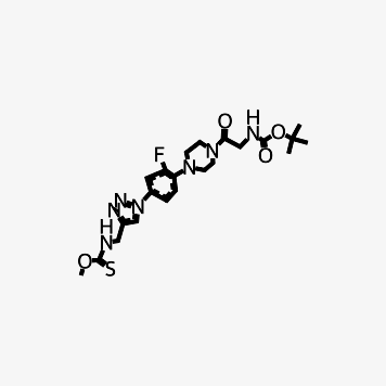 COC(=S)NCc1cn(-c2ccc(N3CCN(C(=O)CNC(=O)OC(C)(C)C)CC3)c(F)c2)nn1